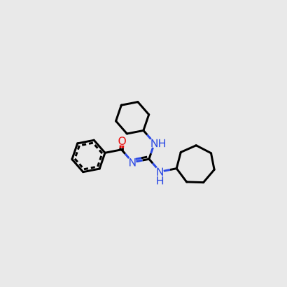 O=C(/N=C(/NC1CCCCCC1)NC1CCCCC1)c1ccccc1